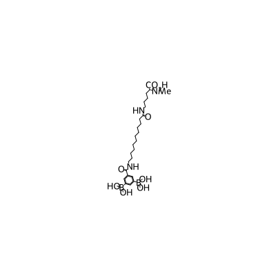 CN[C@@H](CCCCNC(=O)CCCCCCCCCCCNC(=O)c1cc(B(O)O)cc(B(O)O)c1)C(=O)O